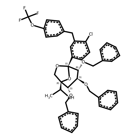 CC(O)[C@@]12CO[C@@](c3ccc(Cl)c(Cc4ccc(OC(F)(F)F)cc4)c3)(O1)[C@H](OCc1ccccc1)[C@@H](OCc1ccccc1)[C@@H]2OCc1ccccc1